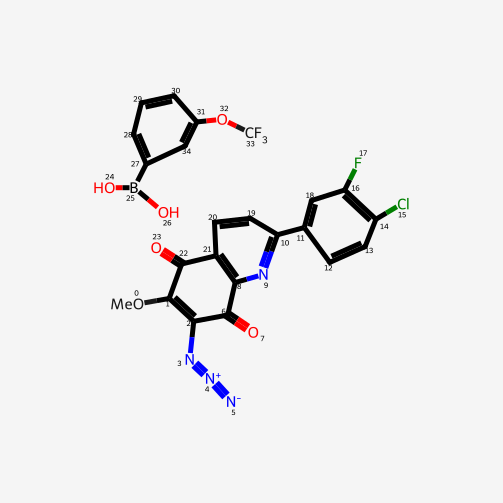 COC1=C(N=[N+]=[N-])C(=O)c2nc(-c3ccc(Cl)c(F)c3)ccc2C1=O.OB(O)c1cccc(OC(F)(F)F)c1